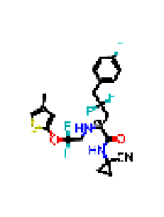 Cc1csc(OC(F)(F)CN[C@@H](CC(F)(F)Cc2ccc(F)cc2)C(=O)NC2(C#N)CC2)c1